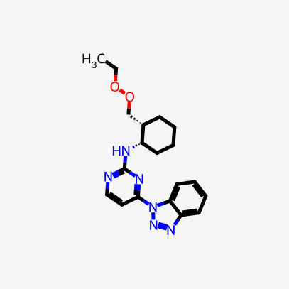 CCOOC[C@@H]1CCCC[C@@H]1Nc1nccc(-n2nnc3ccccc32)n1